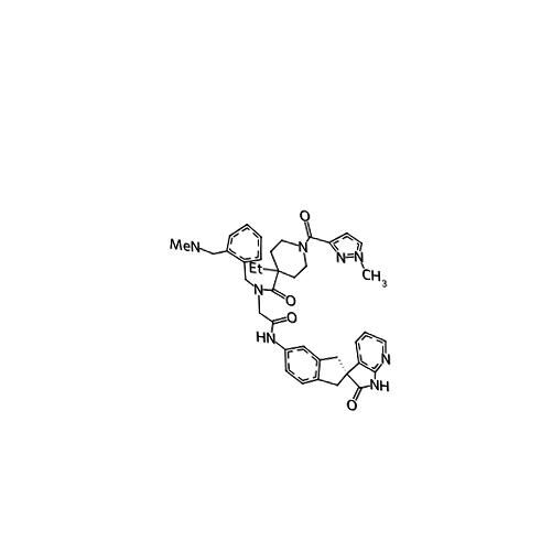 CCC1(C(=O)N(CC(=O)Nc2ccc3c(c2)C[C@@]2(C3)C(=O)Nc3ncccc32)Cc2ccccc2CNC)CCN(C(=O)c2ccn(C)n2)CC1